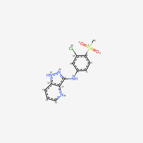 CS(=O)(=O)c1ccc(Nc2n[nH]c3cccnc23)cc1Cl